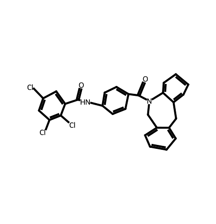 O=C(Nc1ccc(C(=O)N2Cc3ccccc3Cc3ccccc32)cc1)c1cc(Cl)cc(Cl)c1Cl